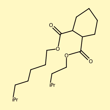 CC(C)CCCCCOC(=O)C1CCCCC1C(=O)OCCC(C)C